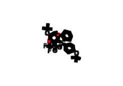 COc1ccccc1S(OS(=O)(=O)C(F)(F)F)(c1ccc(OC(C)(C)C)cc1)c1ccc(OC(C)(C)C)cc1